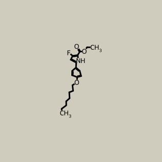 CCCCCCCCOc1ccc(-c2cc(F)c(C(=O)OCC)[nH]2)cc1